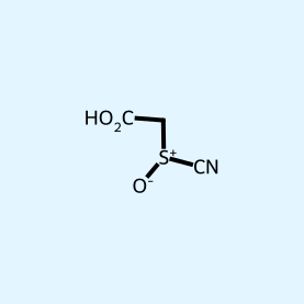 N#C[S+]([O-])CC(=O)O